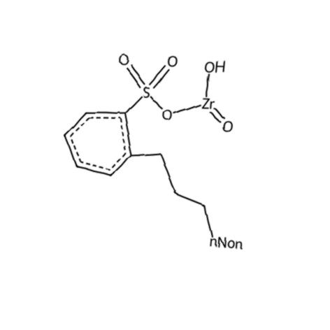 CCCCCCCCCCCCc1ccccc1S(=O)(=O)[O][Zr](=[O])[OH]